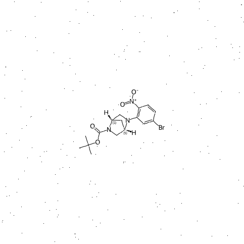 CC(C)(C)OC(=O)N1C[C@@H]2C[C@H]1CN2c1cc(Br)ccc1[N+](=O)[O-]